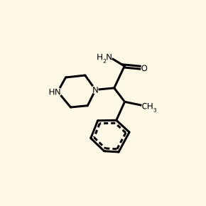 CC(c1ccccc1)C(C(N)=O)N1CCNCC1